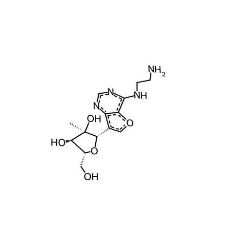 C[C@@]1(O)[C@H](O)[C@@H](CO)O[C@H]1c1coc2c(NCCN)ncnc12